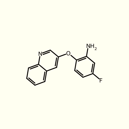 Nc1cc(F)ccc1Oc1cnc2ccccc2c1